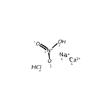 Cl.O=[N+]([O-])O.[Ca+2].[Na+]